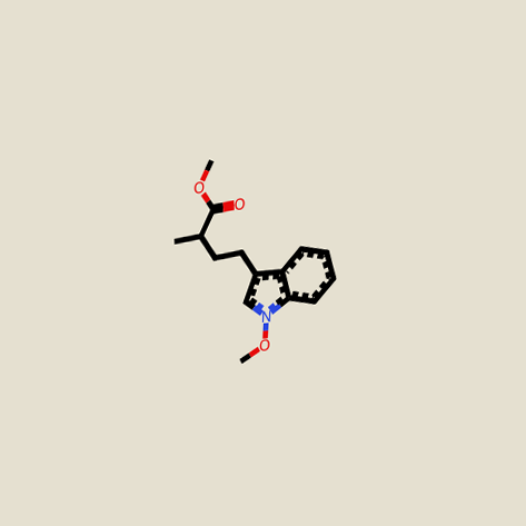 COC(=O)C(C)CCc1cn(OC)c2ccccc12